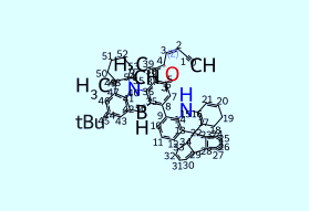 C#C/C=C\c1oc2cc(-c3cccc4c3NC3=C(CCC=C3)C43c4ccc#cc4C4=CC=CCC43)c3c(c2c1C)N1c2c(cc(C(C)(C)C)cc2C2(C)CCCCC12C)B3